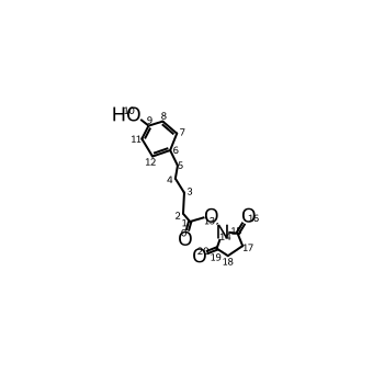 O=C(CCCCc1ccc(O)cc1)ON1C(=O)CCC1=O